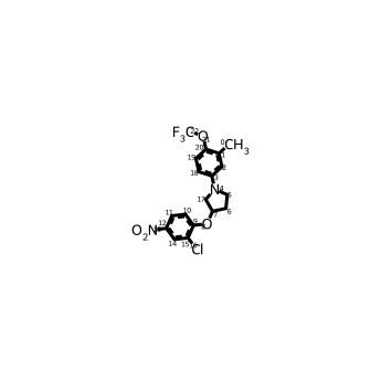 Cc1cc(N2CCC(Oc3ccc([N+](=O)[O-])cc3Cl)C2)ccc1OC(F)(F)F